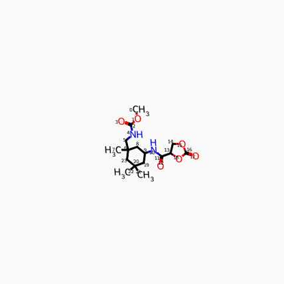 COC(=O)NCC1(C)CC(NC(=O)C2COC(=O)O2)CC(C)(C)C1